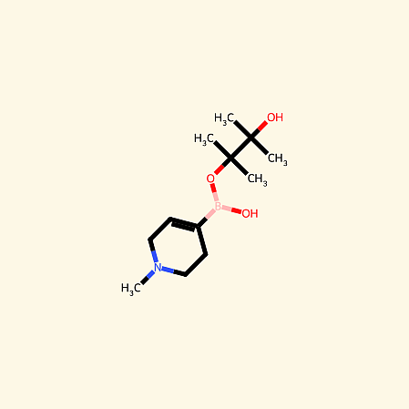 CN1CC=C(B(O)OC(C)(C)C(C)(C)O)CC1